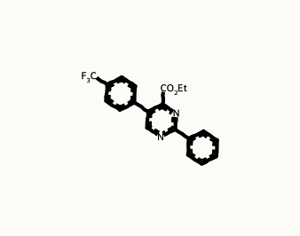 CCOC(=O)c1nc(-c2ccccc2)ncc1-c1ccc(C(F)(F)F)cc1